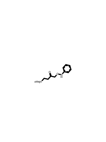 CCCCCCCCCC(=O)CONc1ccccc1